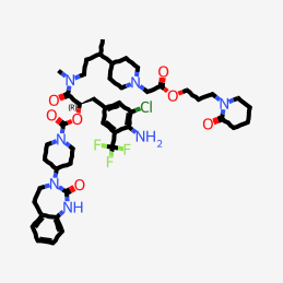 CC(CCN(C)C(=O)[C@@H](Cc1cc(Cl)c(N)c(C(F)(F)F)c1)OC(=O)N1CCC(N2CCc3ccccc3NC2=O)CC1)C1CCN(CC(=O)OCCCN2CCCCC2=O)CC1